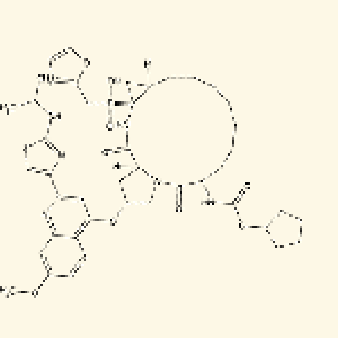 COc1ccc2c(O[C@@H]3C[C@H]4C(=O)N[C@]5(P(=O)(O)Cc6ccco6)C[C@H]5CCCCCCC[C@H](NC(=O)OC5CCCC5)C(=O)N4C3)cc(-c3csc(NC(C)C)n3)nc2c1